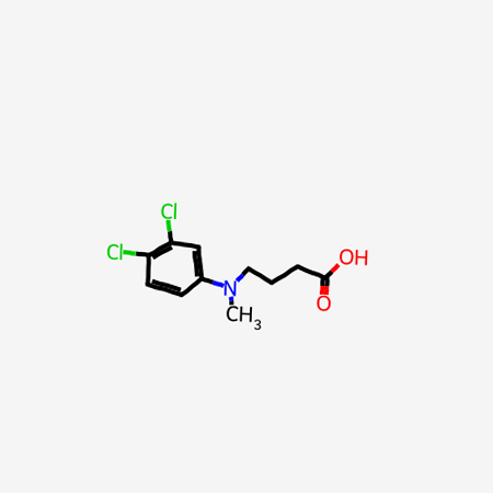 CN(CCCC(=O)O)c1ccc(Cl)c(Cl)c1